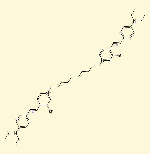 CCN(CC)c1ccc(/C=C/c2cc[n+](CCCCCCCCCC[n+]3ccc(/C=C/c4ccc(N(CC)CC)cc4)c(Br)c3)cc2Br)cc1